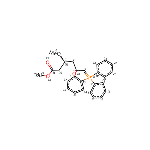 CO[C@@H](CC(=O)C=P(c1ccccc1)(c1ccccc1)c1ccccc1)CC(=O)OC(C)(C)C